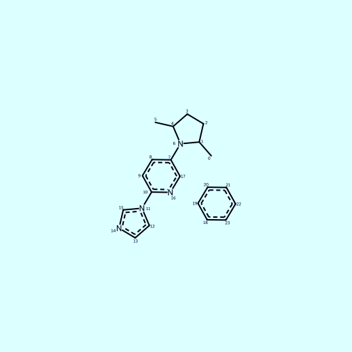 CC1CCC(C)N1c1ccc(-n2ccnc2)nc1.c1ccccc1